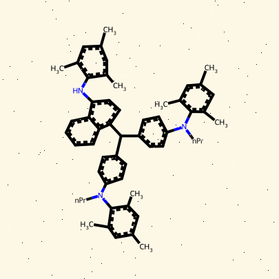 CCCN(c1ccc(C(c2ccc(N(CCC)c3c(C)cc(C)cc3C)cc2)c2ccc(Nc3c(C)cc(C)cc3C)c3ccccc23)cc1)c1c(C)cc(C)cc1C